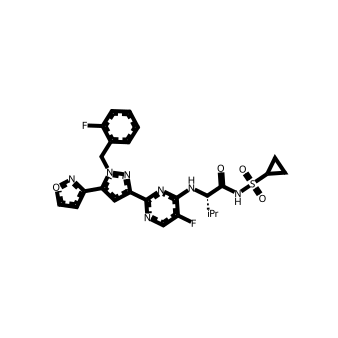 CC(C)[C@H](Nc1nc(-c2cc(-c3ccon3)n(Cc3ccccc3F)n2)ncc1F)C(=O)NS(=O)(=O)C1CC1